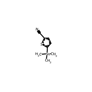 [CH3][Sn]([CH3])([CH3])[c]1ccc(C#N)s1